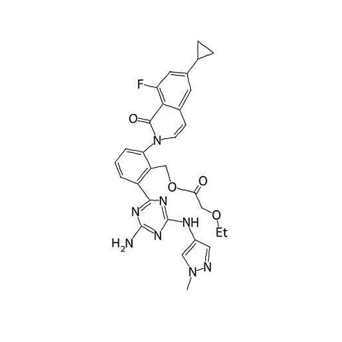 CCOCC(=O)OCc1c(-c2nc(N)nc(Nc3cnn(C)c3)n2)cccc1-n1ccc2cc(C3CC3)cc(F)c2c1=O